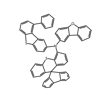 c1ccc(-c2cccc3sc4ccc(N(c5ccc6oc7ccccc7c6c5)c5cccc6c5Sc5ccccc5C65c6ccccc6-c6ccccc65)cc4c23)cc1